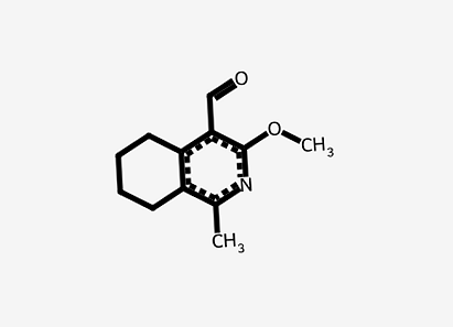 COc1nc(C)c2c(c1C=O)CCCC2